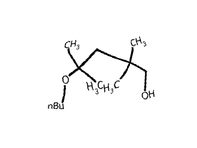 CCCCOC(C)(C)CC(C)(C)CO